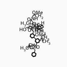 C=C(CNC(=O)O[C@@H](C)[C@H]1[C@H](CO)ON(Cc2cccc(-c3cc(C(=O)N[C@@H](Cc4ccccc4)CN(C)C)cc(N(C)C)c3)c2OC)[C@@H]1C(=O)N[C@H]1C[C@H]2C[C@@H]([C@@H]1C)C2(C)C)OC